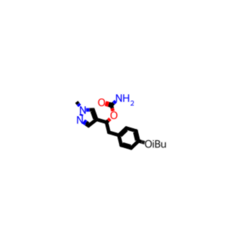 CC(C)COc1ccc(CC(OC(N)=O)c2cnn(C)c2)cc1